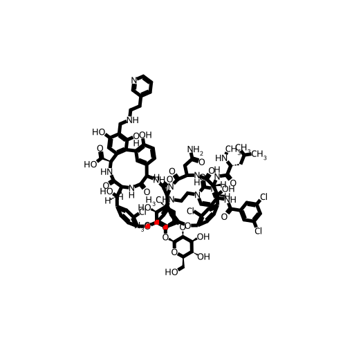 CN[C@H](CC(C)C)C(=O)N[C@H]1C(=O)NC(CC(N)=O)C(=O)NC2C(=O)N[C@H]3C(=O)N[C@H](C(=O)N[C@@H](C(=O)O)c4cc(O)c(CNCCc5cccnc5)c(O)c4-c4cc3ccc4O)[C@H](O)c3ccc(c(Cl)c3)Oc3cc2cc(c3O[C@@H]2O[C@H](CO)[C@@H](O)[C@H](O)[C@H]2O[C@H]2C[C@](C)(NCCn3ccc(NC(=O)c4cc(Cl)cc(Cl)c4)nc3=O)[C@H](O)[C@H](C)O2)Oc2ccc(cc2Cl)[C@H]1O